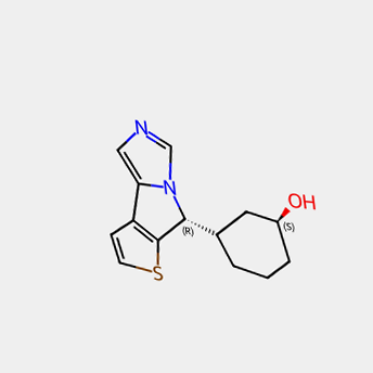 O[C@H]1CCCC([C@@H]2c3sccc3-c3cncn32)C1